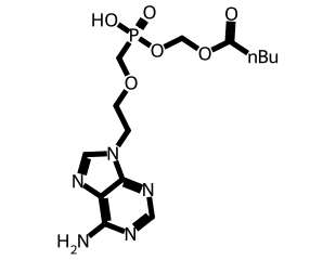 CCCCC(=O)OCOP(=O)(O)COCCn1cnc2c(N)ncnc21